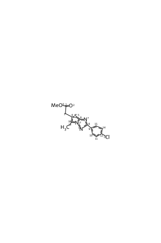 COC(=O)Cc1sc2nc(-c3ccc(Cl)cc3)nn2c1C